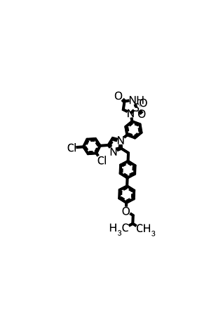 CC(C)COc1ccc(-c2ccc(Cc3nc(-c4ccc(Cl)cc4Cl)cn3-c3cccc(N4CC(=O)NS4(=O)=O)c3)cc2)cc1